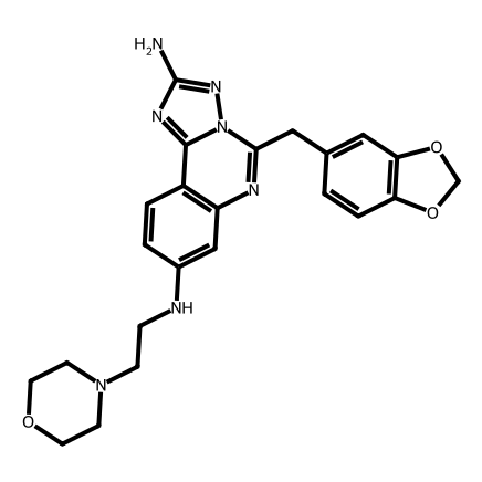 Nc1nc2c3ccc(NCCN4CCOCC4)cc3nc(Cc3ccc4c(c3)OCO4)n2n1